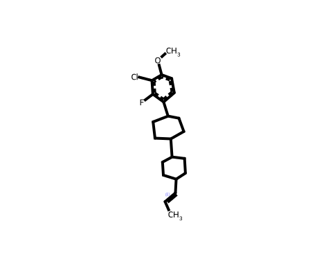 C/C=C/C1CCC(C2CCC(c3ccc(OC)c(Cl)c3F)CC2)CC1